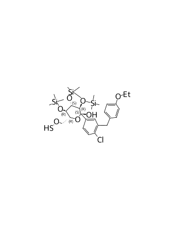 CCOc1ccc(Cc2cc([C@]3(O)O[C@H](COS)[C@@H](O[Si](C)(C)C)[C@H](O[Si](C)(C)C)[C@H]3O[Si](C)(C)C)ccc2Cl)cc1